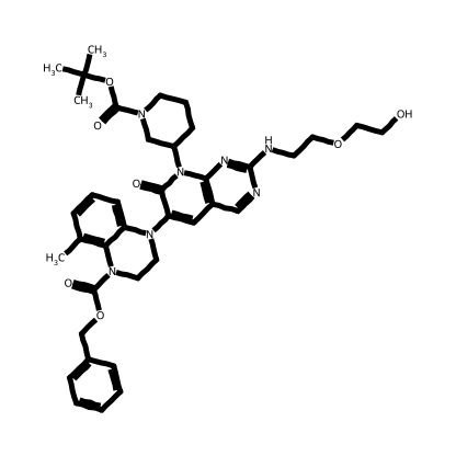 Cc1cccc2c1N(C(=O)OCc1ccccc1)CCN2c1cc2cnc(NCCOCCO)nc2n(C2CCCN(C(=O)OC(C)(C)C)C2)c1=O